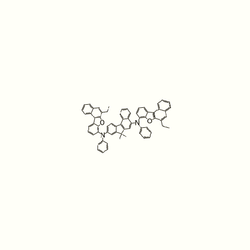 CCc1cc2ccccc2c2c1oc1c(N(c3ccccc3)c3ccc4c(c3)C(C)(C)c3cc(N(c5ccccc5)c5cccc6c5oc5c(CC)cc7ccccc7c56)c5ccccc5c3-4)cccc12